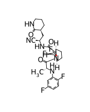 C[C@@H](Nc1cc(F)ccc1F)C(=O)N1[C@@H]2CC[C@H]([C@H]1C(=O)N[C@@H](C#N)C[C@@H]1CCCNC1=O)C(F)(F)C2